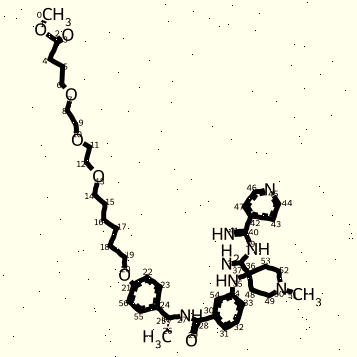 COC(=O)CCCOCCOCCOCCCCCCOc1ccc([C@@H](C)NC(=O)c2cccc(NC3(C(N)NC(=N)c4ccncc4)CCN(C)CC3)c2)cc1